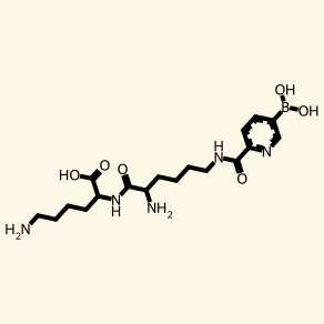 NCCCCC(NC(=O)C(N)CCCCNC(=O)c1ccc(B(O)O)cn1)C(=O)O